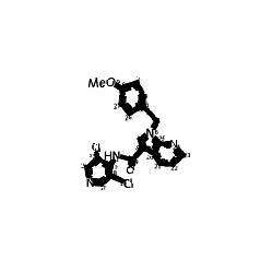 COc1ccc(Cn2cc(C(=O)Nc3c(Cl)cncc3Cl)c3cccnc32)cc1